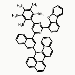 Bc1c(B)c(B)c(-c2nc(-c3cc(N4c5c(ccc6ccccc56)-c5cccc6cccc4c56)cc4ccccc34)nc(-c3cccc4c3oc3ccccc34)n2)c(B)c1B